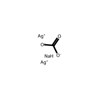 O=C([O-])[O-].[Ag+].[Ag+].[NaH]